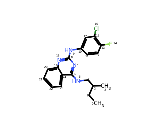 CCC(C)CNc1nc(Nc2ccc(F)c(Cl)c2)nc2ccccc12